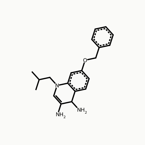 CC(C)CN1C=C(N)C(N)c2ccc(OCc3ccccc3)cc21